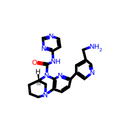 NCc1cncc(-c2ccc3c(n2)N(C(=O)Nc2ccncn2)[C@H]2CCCN3C2)c1